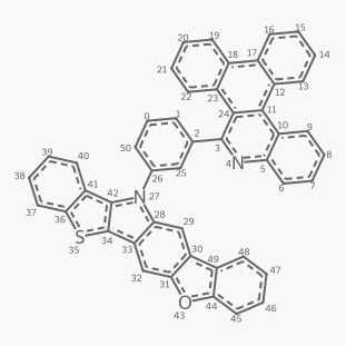 c1cc(-c2nc3ccccc3c3c4ccccc4c4ccccc4c23)cc(-n2c3cc4c(cc3c3sc5ccccc5c32)oc2ccccc24)c1